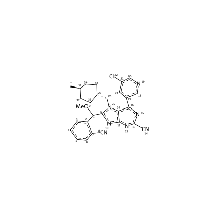 COC(c1ccccc1C#N)c1nc2nc(C#N)nc(-c3cncc(Cl)c3)c2n1C[C@H]1CC[C@H](C)CC1